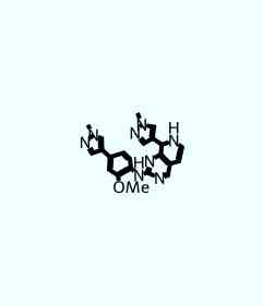 COc1cc(-c2cnn(C)c2)ccc1Nc1ncc2c(n1)C(c1cnn(C)c1)NC=C2